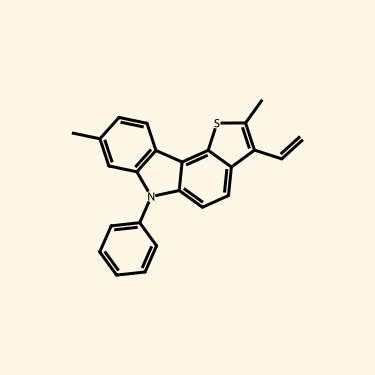 C=Cc1c(C)sc2c1ccc1c2c2ccc(C)cc2n1-c1ccccc1